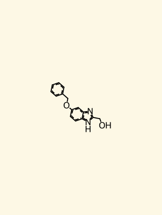 OCc1nc2cc(OCc3ccccc3)ccc2[nH]1